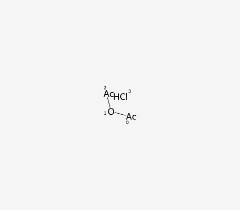 CC(=O)OC(C)=O.Cl